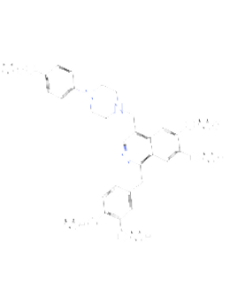 COc1ccc(N2CCN(Cc3cnc(Cc4ccc(OC)c(OC)c4)c4cc(OC)c(OC)cc34)CC2)cc1